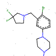 CN1CCN(c2ccc(Br)c(CN3CCC(F)(F)C3)c2)CC1